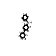 c1cccc(Nc2ccc(-c3ccccc3)cc2)c#1